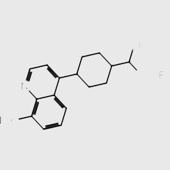 CCOC(=O)C(CC)C1CCC(c2ccnc3c(C(F)(F)F)cccc23)CC1